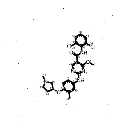 COc1nc(Nc2ccc(O[C@H]3CCN(C)C3)c(C)c2)ncc1C(=O)Nc1c(Cl)cccc1Cl